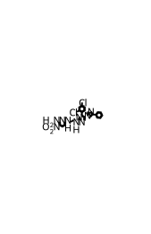 Nc1nc(NCCNc2ncc(-n3cnc(-c4ccccc4)c3)c(-c3ccc(Cl)cc3Cl)n2)ccc1[N+](=O)[O-]